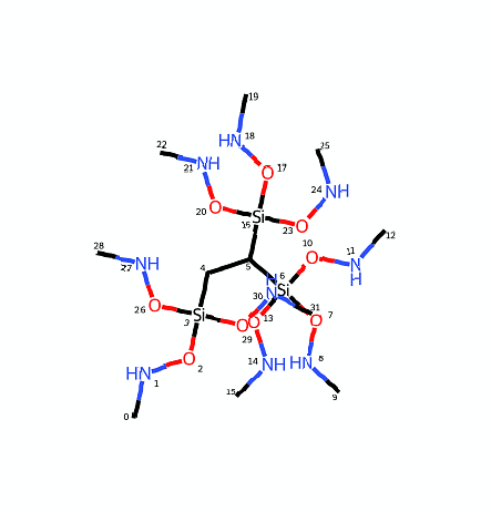 CNO[Si](CC([Si](ONC)(ONC)ONC)[Si](ONC)(ONC)ONC)(ONC)ONC